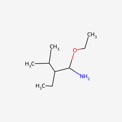 CCOC(N)C(CC)C(C)C